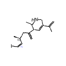 C=C(C)C1=CC(C(=C)C[C@H](C)/C=C\I)C(C)NC1